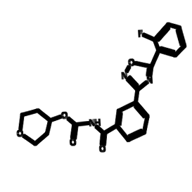 O=C(NC(=O)c1cccc(-c2noc(-c3ccccc3F)n2)c1)OC1CCOCC1